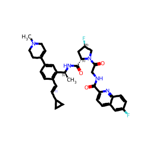 C[C@H](NC(=O)[C@@H]1C[C@@H](F)CN1C(=O)CNC(=O)c1ccc2cc(F)ccc2n1)c1cc(C2=CCN(C)CC2)ccc1/C=C/C1CC1